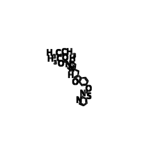 CC(C)(C)OC(=O)N1C[C@@H]2CC[C@H]1CN2Cc1coc2cc(Oc3nc4ncccc4s3)ccc12